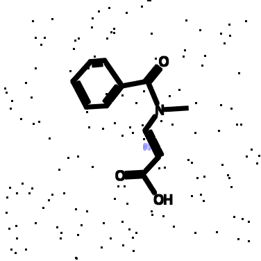 CN(/C=C/C(=O)O)C(=O)c1ccccc1